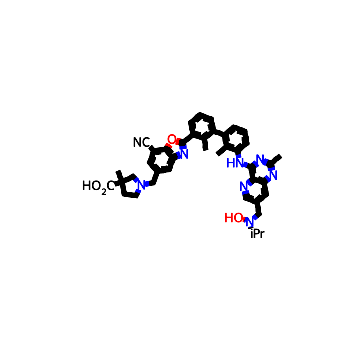 Cc1nc(Nc2cccc(-c3cccc(-c4nc5cc(CN6CCC(C)(C(=O)O)C6)cc(C#N)c5o4)c3C)c2C)c2ncc(CN(O)C(C)C)cc2n1